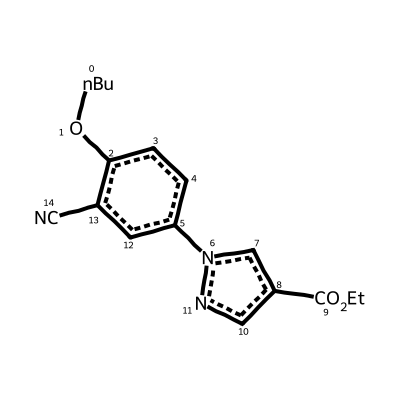 CCCCOc1ccc(-n2cc(C(=O)OCC)cn2)cc1C#N